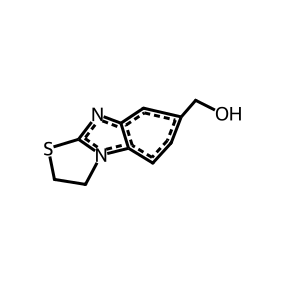 OCc1ccc2c(c1)nc1n2CCS1